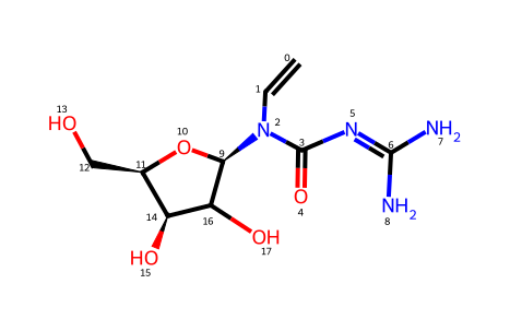 C=CN(C(=O)N=C(N)N)[C@@H]1O[C@H](CO)[C@H](O)C1O